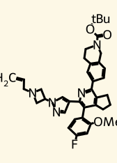 C=CCN1CC(n2cc(-c3nc(-c4ccc5c(c4)CCN(C(=O)OC(C)(C)C)C5)c4c(c3-c3ccc(F)cc3OC)CCC4)cn2)C1